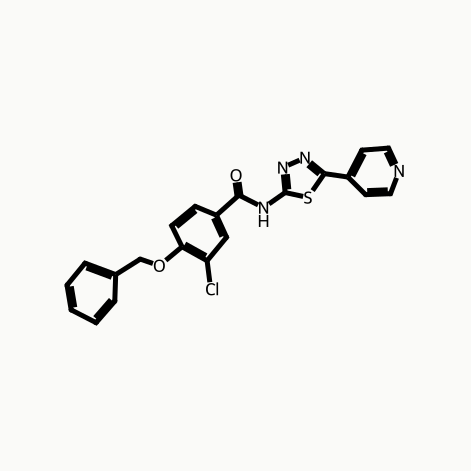 O=C(Nc1nnc(-c2ccncc2)s1)c1ccc(OCc2ccccc2)c(Cl)c1